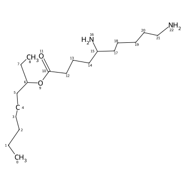 CCCCCCC(CC)OC(=O)CCCC(N)CCCCCN